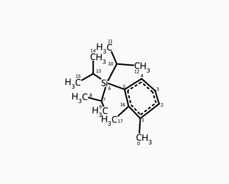 Cc1cccc([Si](C(C)C)(C(C)C)C(C)C)c1C